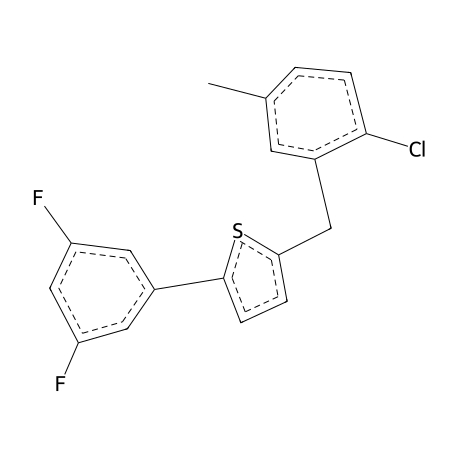 Cc1ccc(Cl)c(Cc2ccc(-c3cc(F)cc(F)c3)s2)c1